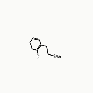 CNCCC1=C(F)CCC=C1